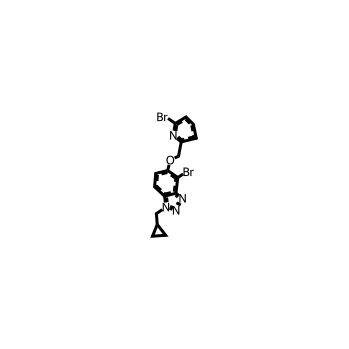 Brc1cccc(COc2ccc3c(nnn3CC3CC3)c2Br)n1